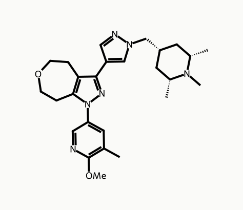 COc1ncc(-n2nc(-c3cnn(C[C@H]4C[C@@H](C)N(C)[C@@H](C)C4)c3)c3c2CCOCC3)cc1C